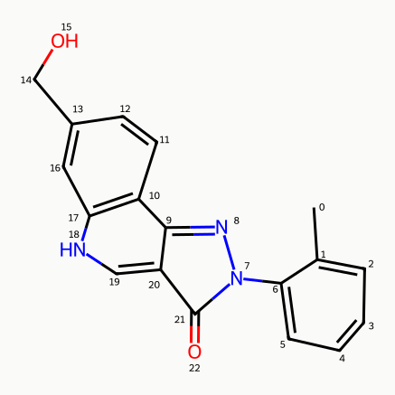 Cc1ccccc1-n1nc2c3ccc(CO)cc3[nH]cc-2c1=O